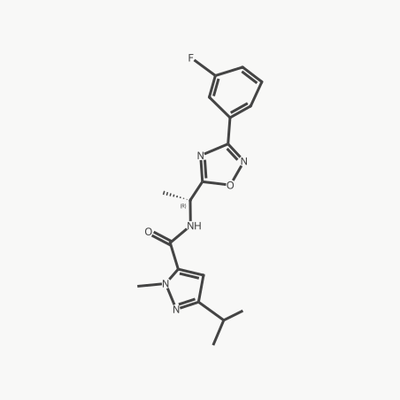 CC(C)c1cc(C(=O)N[C@H](C)c2nc(-c3cccc(F)c3)no2)n(C)n1